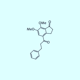 COc1cc(C(=O)CCc2ccccc2)c2c(c1OC)C(=O)CC2